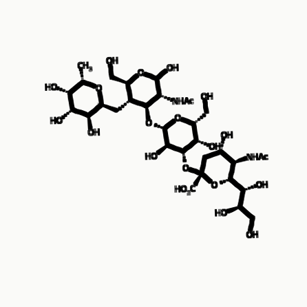 CC(=O)N[C@H]1[C@H]([C@H](O)[C@H](O)CO)O[C@@](O[C@H]2[C@@H](O)[C@@H](CO)O[C@@H](O[C@H]3[C@H](C[C@@H]4O[C@@H](C)[C@@H](O)[C@@H](O)[C@@H]4O)[C@@H](CO)OC(O)[C@@H]3NC(C)=O)[C@@H]2O)(C(=O)O)C[C@@H]1O